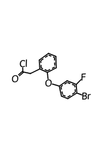 O=C(Cl)Cc1ccccc1Oc1ccc(Br)c(F)c1